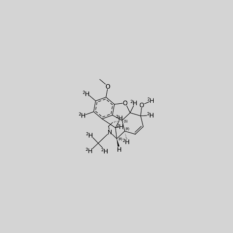 [2H]OC1([2H])C=C[C@@]2([2H])[C@@H]3N(C([2H])([2H])[2H])CC[C@@]24c2c(c(OC)c([2H])c([2H])c2C3([2H])[2H])OC14[2H]